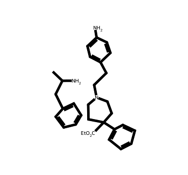 CC(N)Cc1ccccc1.CCOC(=O)C1(c2ccccc2)CCN(CCc2ccc(N)cc2)CC1